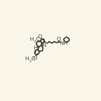 COc1ccc2c(c1)CC[C@H]1[C@@H]3[C@H](CCCCCC(=O)NC4CCCCC4)CC(=O)[C@@]3(C)CC[C@H]21